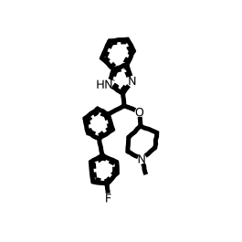 CN1CCC(OC(c2cccc(-c3ccc(F)cc3)c2)c2nc3ccccc3[nH]2)CC1